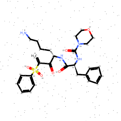 C=C(C(=O)[C@H](CCCCN)NC(=O)[C@H](Cc1ccccc1)NC(=O)N1CCOCC1)S(=O)(=O)c1ccccc1